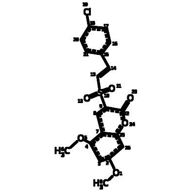 COc1cc(OC)c2cc(S(=O)(=O)C=Cc3ccc(Cl)cc3)c(=O)oc2c1